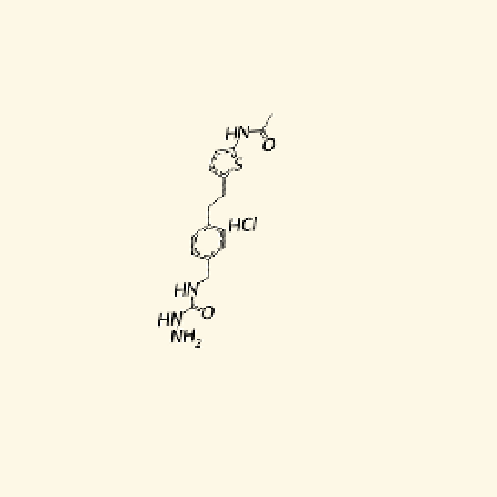 CC(=O)Nc1ccc(CCc2ccc(CNC(=O)NN)cc2)s1.Cl